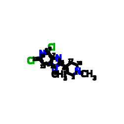 CN1CC=C(c2nc3c(Cl)nc(Cl)cc3n2C)CC1